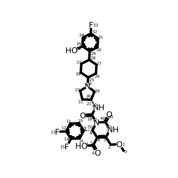 COCC1=C(C(=O)O)[C@H](c2ccc(F)c(F)c2)N(C(=O)N[C@@H]2CCN(C3CCC(c4ccc(F)cc4O)CC3)C2)C(=O)N1